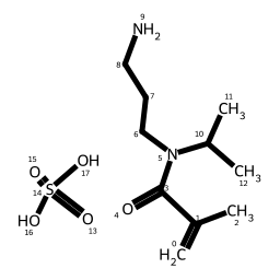 C=C(C)C(=O)N(CCCN)C(C)C.O=S(=O)(O)O